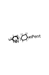 CCCCC[C@H]1CC[C@H](c2ccc(C)nn2)CC1